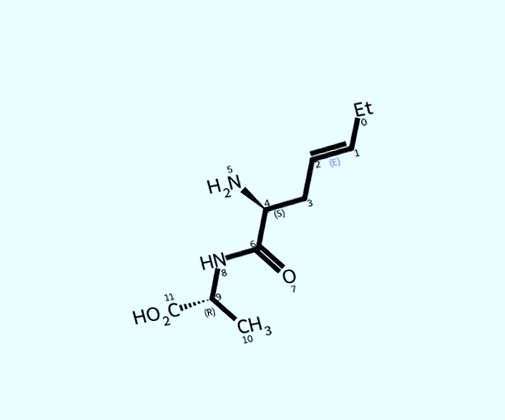 CC/C=C/C[C@H](N)C(=O)N[C@H](C)C(=O)O